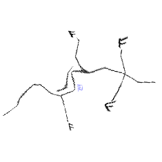 CC/C(F)=C(\F)C(C)(F)F